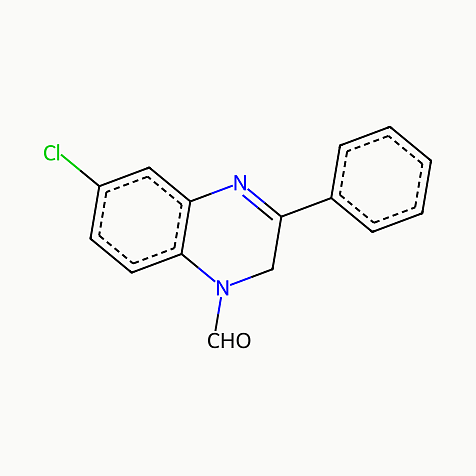 O=CN1CC(c2ccccc2)=Nc2cc(Cl)ccc21